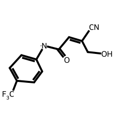 N#CC(=CC(=O)[N]c1ccc(C(F)(F)F)cc1)CO